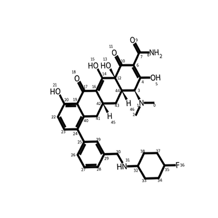 CN(C)[C@@H]1C(O)=C(C(N)=O)C(=O)[C@@]2(O)C(O)=C3C(=O)c4c(O)ccc(-c5cccc(CNC6CCC(F)CC6)c5)c4C[C@H]3C[C@@H]12